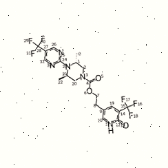 C[C@@H]1CN(C(=O)OCCc2c[nH]c(=O)c(C(F)(F)F)c2)C[C@@H](C)N1c1ncc(C(F)(F)F)cn1